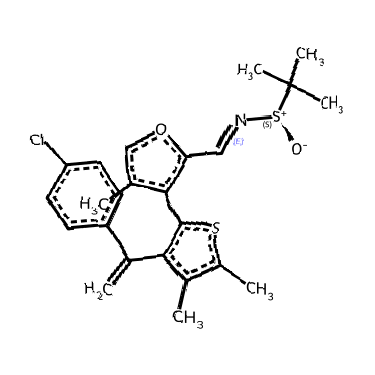 C=C(c1ccc(Cl)cc1)c1c(-c2c(C)coc2/C=N/[S@+]([O-])C(C)(C)C)sc(C)c1C